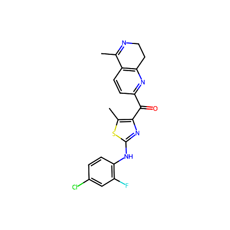 CC1=NCCc2nc(C(=O)c3nc(Nc4ccc(Cl)cc4F)sc3C)ccc21